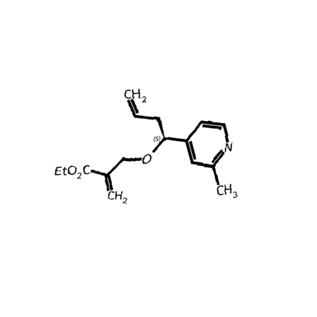 C=CC[C@H](OCC(=C)C(=O)OCC)c1ccnc(C)c1